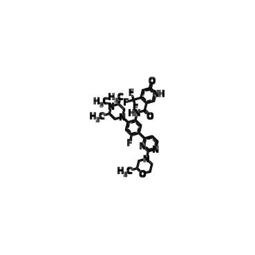 CC1CN(c2nccc(-c3cc(NC(=O)c4c[nH]c(=O)cc4C(F)(F)F)c(N4CC(C)N(C)C(C)C4)cc3F)n2)CCO1